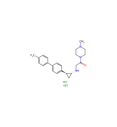 CN1CCN(C(=O)CN[C@@H]2C[C@H]2c2ccc(-c3ccc(C(F)(F)F)cc3)cc2)CC1.Cl.Cl